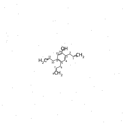 C=CCc1cc(CC=C)c(CC=C)cc1O